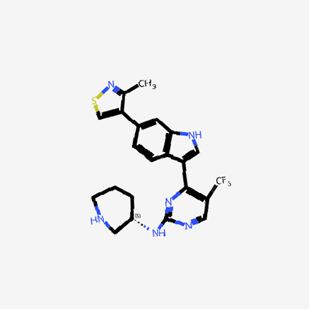 Cc1nscc1-c1ccc2c(-c3nc(N[C@H]4CCCNC4)ncc3C(F)(F)F)c[nH]c2c1